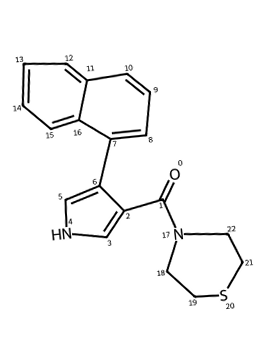 O=C(c1c[nH]cc1-c1cccc2ccccc12)N1CCSCC1